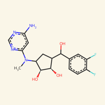 CN(c1cc(N)ncn1)C1CC(C(O)c2ccc(F)c(F)c2)[C@@H](O)[C@H]1O